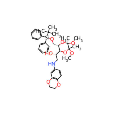 CO[C@]1(C)O[C@@H]([C@@H](O)CNc2ccc3c(c2)OCCO3)[C@H](CO[Si](c2ccccc2)(c2ccccc2)C(C)(C)C)O[C@@]1(C)OC